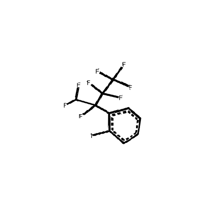 FC(F)C(F)(c1ccccc1I)C(F)(F)C(F)(F)F